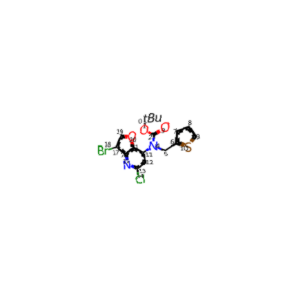 CC(C)(C)OC(=O)N(Cc1cccs1)c1cc(Cl)nc2c(Br)coc12